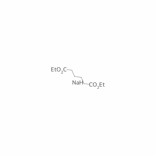 CCOC(=O)CCCCC(=O)OCC.[NaH]